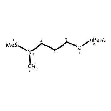 CCCCCOCCCN(C)SC